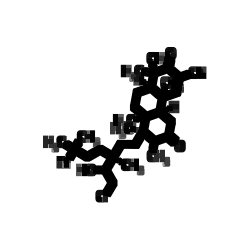 CCC(C)(C)CC[C@@](C)(CC[C@]1(C)C(C)C(=O)C[C@@H]2[C@@]3(C)C=C(C#N)C(=O)C(C)(C)[C@@H]3CC[C@]21C)C(O)CCl